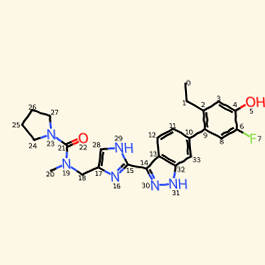 CCc1cc(O)c(F)cc1-c1ccc2c(-c3nc(CN(C)C(=O)N4CCCC4)c[nH]3)n[nH]c2c1